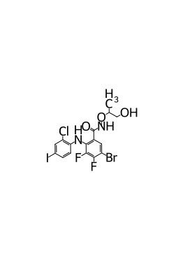 CC(CO)ONC(=O)c1cc(Br)c(F)c(F)c1Nc1ccc(I)cc1Cl